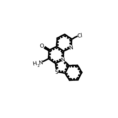 Nc1c(=O)c2ccc(Cl)nc2n2c1sc1ccccc12